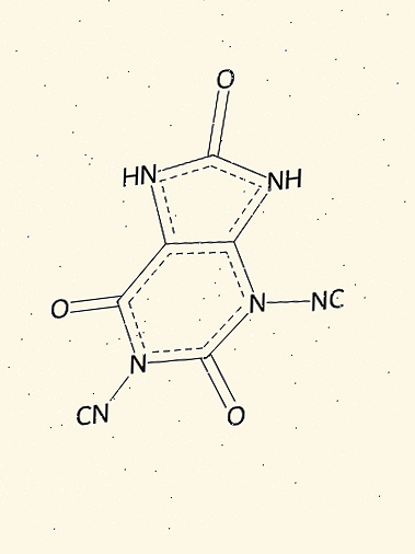 [C-]#[N+]n1c(=O)c2[nH]c(=O)[nH]c2n([N+]#[C-])c1=O